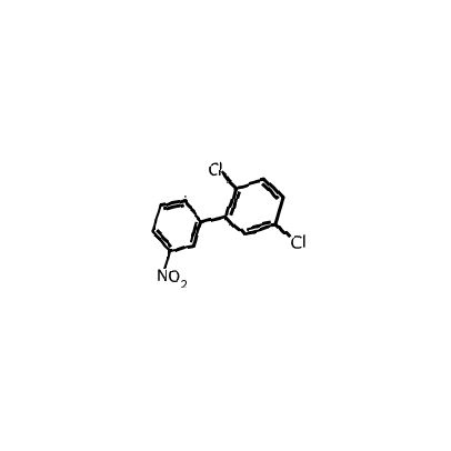 O=[N+]([O-])c1cc[c]c(-c2cc(Cl)ccc2Cl)c1